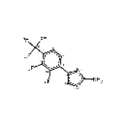 Nc1nc(-c2ccc(C(F)(F)F)c(F)c2F)cs1